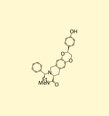 CC[C@@H](c1ccccc1)N1Cc2cc3c(cc2C[C@H]1C(=O)NC)OC[C@H](c1ccc(O)cc1)O3